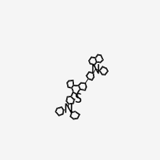 c1ccc(N(c2ccccc2)c2ccc3c(c2)sc2c4ccc(-c5ccc(N(c6ccccc6)c6cccc7ccccc67)cc5)cc4c4ccccc4c32)cc1